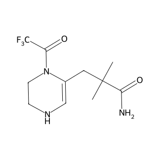 CC(C)(CC1=CNCCN1C(=O)C(F)(F)F)C(N)=O